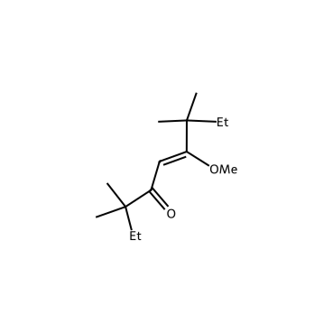 CCC(C)(C)C(=O)/C=C(\OC)C(C)(C)CC